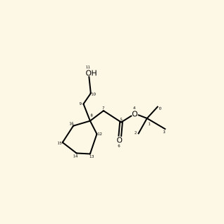 CC(C)(C)OC(=O)CC1(CCO)CCCCC1